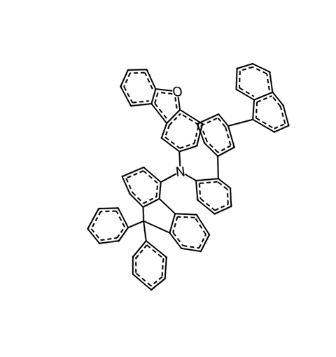 c1ccc(C2(c3ccccc3)c3ccccc3-c3c(N(c4ccc5oc6ccccc6c5c4)c4ccccc4-c4cccc(-c5cccc6ccccc56)c4)cccc32)cc1